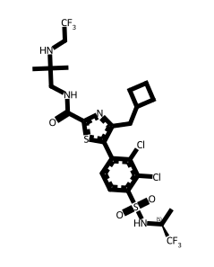 C[C@H](NS(=O)(=O)c1ccc(-c2sc(C(=O)NCC(C)(C)NCC(F)(F)F)nc2CC2CCC2)c(Cl)c1Cl)C(F)(F)F